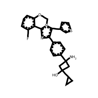 NC1(c2ccc(-c3nc4n(c3-c3ccsc3)COc3cccc(F)c3-4)cc2)CC(O)(C2CC2)C1